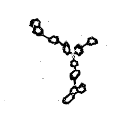 c1ccc(-c2ccc(N(c3ccc(-c4ccc(-c5ccc6ccccc6c5)cc4)cc3)c3ccc(-c4ccc(-c5cc6ccccc6c6ccccc56)cc4)cc3)cc2)cc1